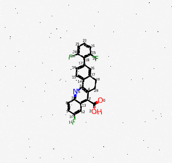 O=C(O)c1c2c(nc3ccc(F)cc13)-c1ccc(-c3c(F)cccc3F)cc1CC2